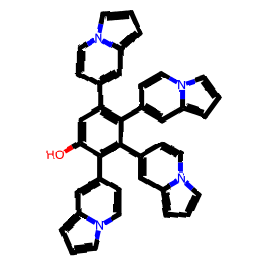 Oc1cc(-c2ccn3cccc3c2)c(-c2ccn3cccc3c2)c(-c2ccn3cccc3c2)c1-c1ccn2cccc2c1